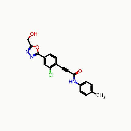 Cc1ccc(NC(=O)C#Cc2ccc(-c3nnc(CO)o3)cc2Cl)cc1